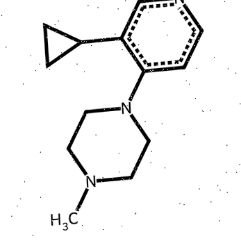 CN1CCN(c2ccncc2C2CC2)CC1